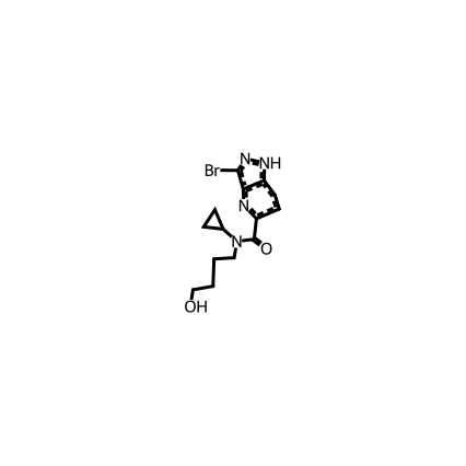 O=C(c1ccc2[nH]nc(Br)c2n1)N(CCCCO)C1CC1